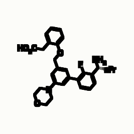 CCC[C@@H](N)c1cccc(-c2cc(COc3ccccc3CC(=O)O)cc(N3CCOCC3)c2)c1F